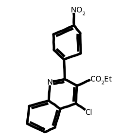 CCOC(=O)c1c(-c2ccc([N+](=O)[O-])cc2)nc2ccccc2c1Cl